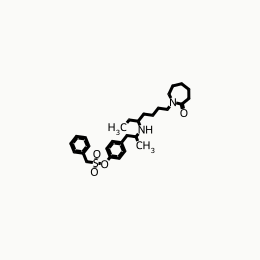 CCC(CCCCN1CCCCCC1=O)NC(C)Cc1ccc(OS(=O)(=O)Cc2ccccc2)cc1